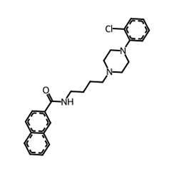 O=C(NCCCCN1CCN(c2ccccc2Cl)CC1)c1ccc2ccccc2c1